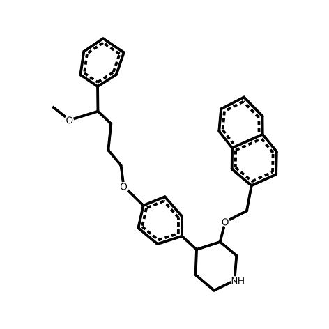 COC(CCCOc1ccc(C2CCNCC2OCc2ccc3ccccc3c2)cc1)c1ccccc1